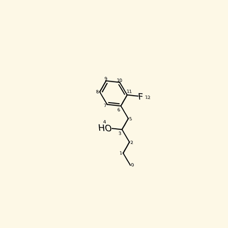 CCCC(O)Cc1ccccc1F